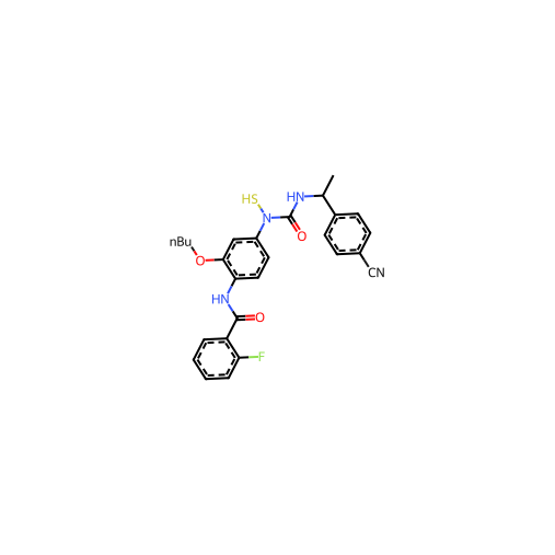 CCCCOc1cc(N(S)C(=O)NC(C)c2ccc(C#N)cc2)ccc1NC(=O)c1ccccc1F